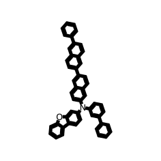 c1ccc(-c2cccc(N(c3ccc4cc(-c5ccc6cc(-c7ccccc7)ccc6c5)ccc4c3)c3ccc4c(c3)oc3ccccc34)c2)cc1